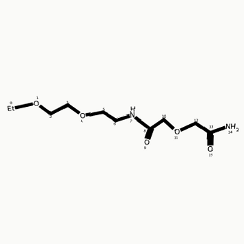 CCOCCOCCNC(=O)COCC(N)=O